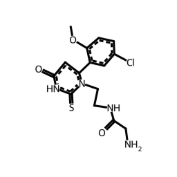 COc1ccc(Cl)cc1-c1cc(=O)[nH]c(=S)n1CCNC(=O)CN